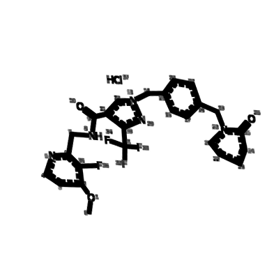 COc1ccnc(CNC(=O)c2cn(Cc3ccc(Cn4ccccc4=O)cc3)nc2C(F)(F)F)c1F.Cl